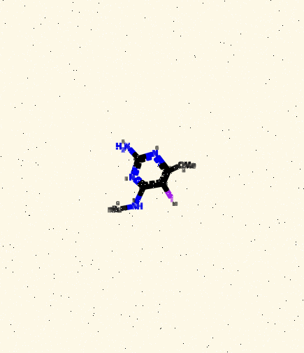 CCCCNc1nc(N)nc(OC)c1I